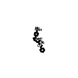 O=C1NC(=S)N(CCC2=CC=CCC2)C(=O)C1=Cc1ccc(-c2ccc(-c3nnn[nH]3)cc2)[nH]1